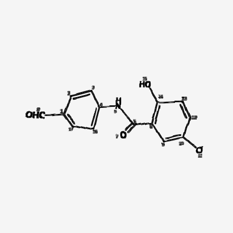 O=Cc1ccc(NC(=O)c2cc(Cl)ccc2O)cc1